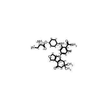 CC(C)C[C@H](N)C(=O)O[C@H]1CC[C@H](Nc2cc(-n3c4c(c5c3CC(C)(C)CC5=O)COC4)cc(F)c2C(N)=O)CC1